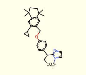 Cn1ccnc1[C@@H](CC(=O)O)c1ccc(OCc2cc3c(cc2C2CC2)C(C)(C)CCC3(C)C)cc1